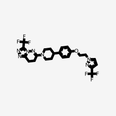 FC(F)(F)c1ccn(CCOc2ccc(C3CCN(C4=Nn5c(nnc5C(F)(F)F)CC4)CC3)cc2)n1